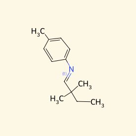 CCC(C)(C)/C=N/c1ccc(C)cc1